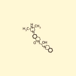 CC1CN(c2ccc3c(c2)CCN(C[C@H](O)CN2CCc4ccccc4C2)C3=O)CC(C)N1